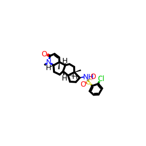 CN1C(=O)C=C[C@]2(C)[C@H]3CC[C@]4(C)[C@@H](NS(=O)(=O)c5ccccc5Cl)CC[C@H]4[C@@H]3CC[C@@H]12